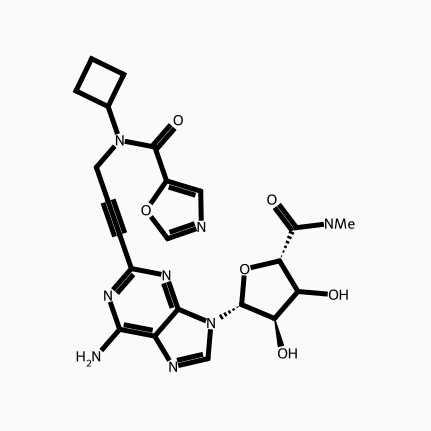 CNC(=O)[C@H]1O[C@@H](n2cnc3c(N)nc(C#CCN(C(=O)c4cnco4)C4CCC4)nc32)[C@H](O)C1O